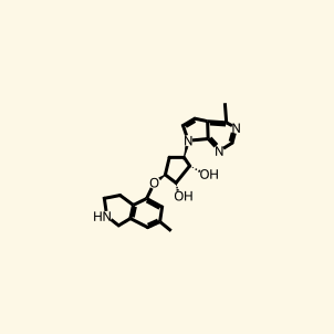 Cc1cc2c(c(O[C@H]3C[C@@H](n4ccc5c(C)ncnc54)[C@H](O)[C@@H]3O)c1)CCNC2